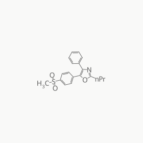 CCCc1nc(-c2ccccc2)c(-c2ccc(S(C)(=O)=O)cc2)o1